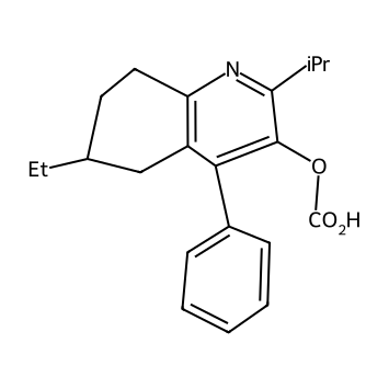 CCC1CCc2nc(C(C)C)c(OC(=O)O)c(-c3ccccc3)c2C1